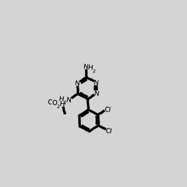 CC(=O)O.Nc1nnc(-c2cccc(Cl)c2Cl)c(N)n1